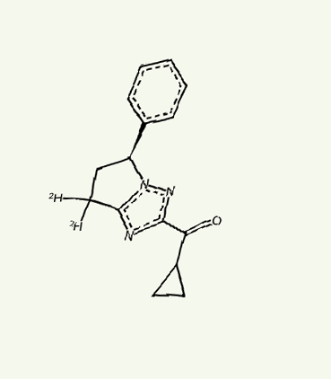 [2H]C1([2H])C[C@@H](c2ccccc2)n2nc(C(=O)C3CC3)nc21